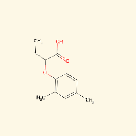 CCC(Oc1ccc(C)cc1C)C(=O)O